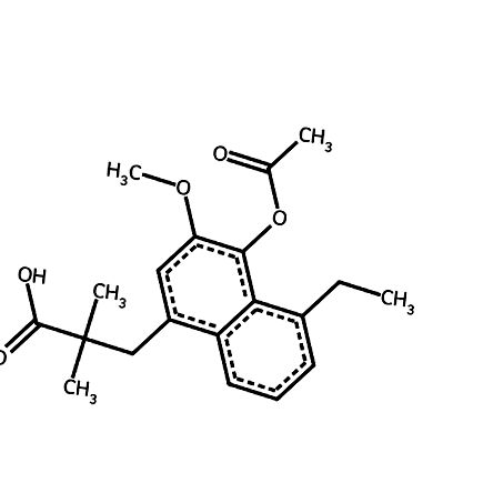 CCc1cccc2c(CC(C)(C)C(=O)O)cc(OC)c(OC(C)=O)c12